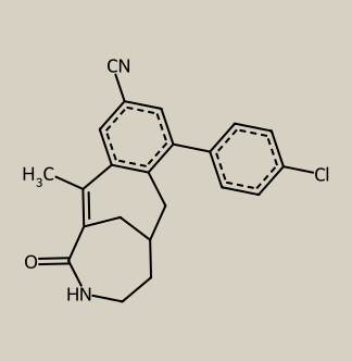 CC1=C2CC(CCNC2=O)Cc2c1cc(C#N)cc2-c1ccc(Cl)cc1